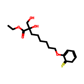 CCOC(=O)C(O)(CO)CCCCCCOC1=CC=CCC1=S